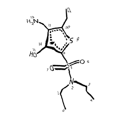 CCN(CC)S(=O)(=O)c1sc(C)c(N)c1O